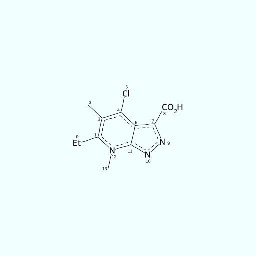 CCc1c(C)c(Cl)c2c(C(=O)O)nnc-2n1C